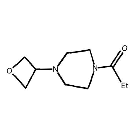 CCC(=O)N1CCN(C2COC2)CC1